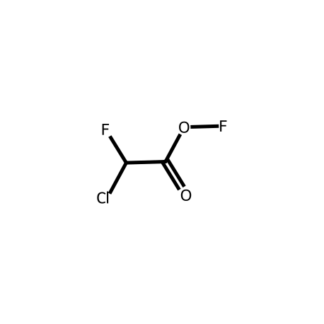 O=C(OF)C(F)Cl